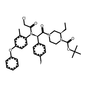 CC[C@@H]1CN(C(=O)[C@@H](c2ccc(F)cc2)N(C(=O)CCl)c2ccc(Oc3ccccc3)cc2C)CCN1C(=O)OC(C)(C)C